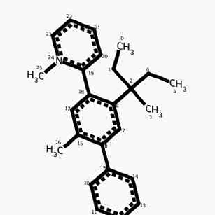 CCC(C)(CC)c1cc(-c2ccccc2)c(C)cc1-c1cccc[n+]1C